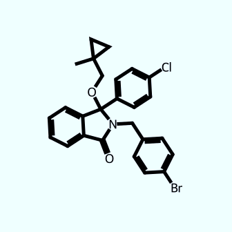 CC1(COC2(c3ccc(Cl)cc3)c3ccccc3C(=O)N2Cc2ccc(Br)cc2)CC1